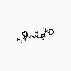 Nc1ccccc1NCCNCc1cc(C(=O)N2CCCCC2)cs1